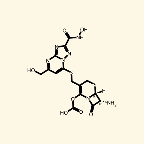 N[C@@H]1C(=O)N2C(OC(=O)O)=C(CSc3cc(CO)nc4nc(C(=O)NO)nn34)CS[C@H]12